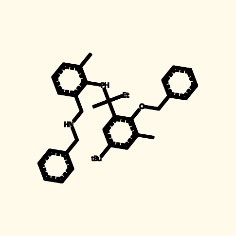 CCC(C)(Pc1c(C)cccc1CNCc1ccccc1)c1cc(C(C)(C)C)cc(C)c1OCc1ccccc1